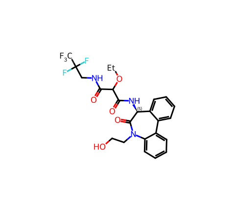 CCOC(C(=O)NCC(F)(F)C(F)(F)F)C(=O)N[C@@H]1C(=O)N(CCO)c2ccccc2-c2ccccc21